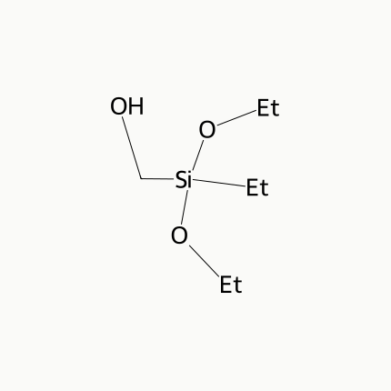 CCO[Si](CC)(CO)OCC